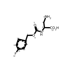 NCC(NC(=O)OCc1ccc(F)cc1)C(=O)O